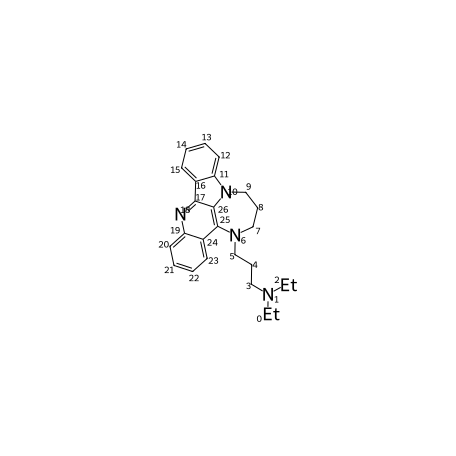 CCN(CC)CCCN1CCCn2c3ccccc3c3nc4ccccc4c1c32